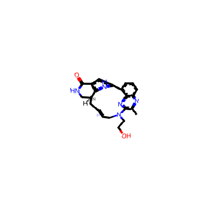 Cc1nc2cccc3c2nc1N(CCO)C/C=C/C[C@H]1CNC(=O)c2cc-3[nH]c21